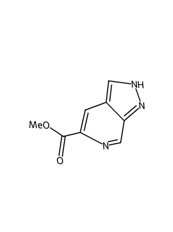 COC(=O)c1cc2c[nH]nc2cn1